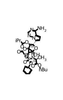 CCCCOC(=O)[C@H](C)NP(=O)(Oc1ccccc1)OC1[C@@]2(C)O[C@@H](c3ccc4c(N)ncnn34)[C@H](OC(=O)C(C)C)[C@@]12OC(=O)C(C)C